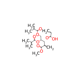 C=C(C)C(=O)OCC(CC(=C)C(=O)OC)OC(=O)C(=C)C.C=CC(=O)O